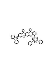 O=c1c2ccc(-n3c4ccccc4c4ccccc43)cc2oc2cc3oc4c(-c5nc(-c6ccccc6)nc(-c6ccccc6)n5)cccc4c(=O)c3cc12